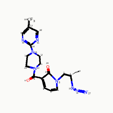 C[C@@H](Cn1cccc(C(=O)N2CCN(c3ncc(C(F)(F)F)cn3)CC2)c1=O)N=[N+]=[N-]